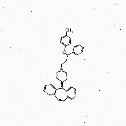 Cc1ccc(OC(CCN2CCC(=C3c4ccccc4C=Cc4ccccc43)CC2)c2ccccc2)cc1